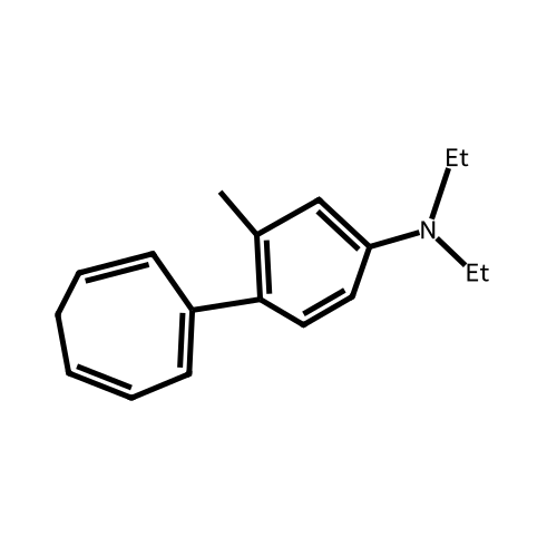 CCN(CC)c1ccc(C2=CC=CCC=C2)c(C)c1